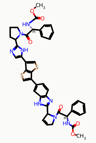 COC(=O)N[C@@H](C(=O)N1CC=CC1c1nc2ccc(-c3csc4c(-c5cnc(C6CCCN6C(=O)[C@H](NC(=O)OC)c6ccccc6)[nH]5)csc34)cc2[nH]1)c1ccccc1